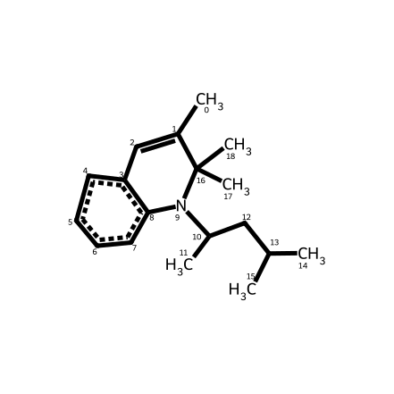 CC1=Cc2ccccc2N(C(C)CC(C)C)C1(C)C